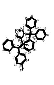 C/C(=C(/c1ccccc1)c1ccc(C)cc1)c1nnnn1C(c1ccccc1)(c1ccccc1)c1ccccc1